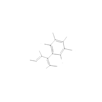 CC/C(F)=C(\C(F)=C\F)c1c(F)c(C)c(C)c(F)c1F